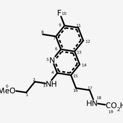 COCCNc1nc2c(C)c(F)ccc2cc1CCNC(=O)O